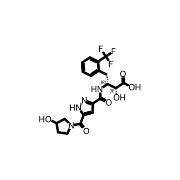 O=C(N[C@H](Cc1ccccc1C(F)(F)F)[C@@H](O)C(=O)O)c1cc(C(=O)N2CCC(O)C2)[nH]n1